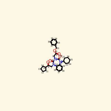 O=C(CN1C(=O)N(CC(=O)C2CCCC2)c2ccccc2N(C2CCCCC2)C1=O)OCc1ccccc1